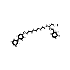 OCC(COCCCCCCCCOc1ccc(-c2ccccc2)cc1)OCc1ccccc1